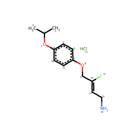 CC(C)Oc1ccc(OC/C(F)=C/CN)cc1.Cl